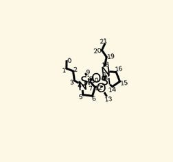 CCCCN1CCC[Si]1(C)O[Si]1(OC)CCCN1CCCC